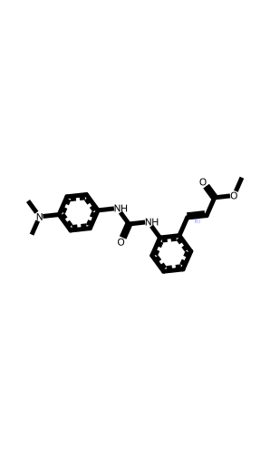 COC(=O)/C=C/c1ccccc1NC(=O)Nc1ccc(N(C)C)cc1